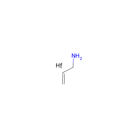 C=CCN.[Hf]